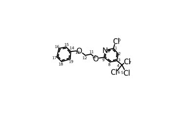 Clc1cc(C(Cl)(Cl)Cl)cc(OCCOc2ccccc2)n1